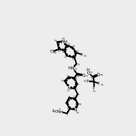 CC(=O)NCc1ccc(Cc2cc(C(=O)NCc3cc4c(Cl)c[nH]c4cc3F)ccn2)cn1.O=C(O)C(F)(F)F